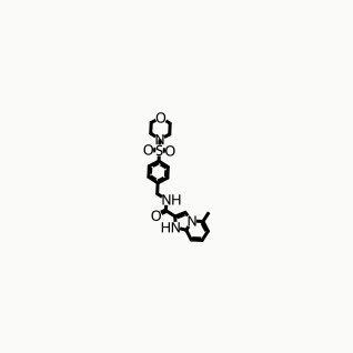 CC1=CC=CC2NC(C(=O)NCc3ccc(S(=O)(=O)N4CCOCC4)cc3)=CN12